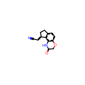 N#C/C=C1\CCc2ccc3c(c21)NC(=O)CO3